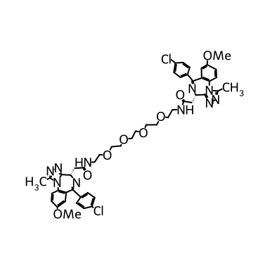 COc1ccc2c(c1)C(c1ccc(Cl)cc1)=N[C@@H](CC(=O)NCCOCCOCCOCCOCCNC(=O)C[C@@H]1N=C(c3ccc(Cl)cc3)c3cc(OC)ccc3-n3c(C)nnc31)c1nnc(C)n1-2